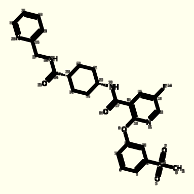 CS(=O)(=O)c1cccc(Oc2ncc(F)cc2C(=O)N[C@H]2CC[C@@H](C(=O)NCc3ccccn3)CC2)c1